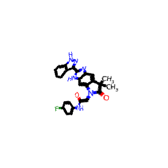 CC1(C)C(=O)N(CC(=O)Nc2ccc(F)cc2)c2cc3[nH]c(-c4n[nH]c5ccccc45)nc3cc21